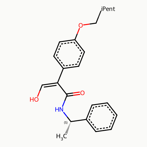 CCCC(C)COc1ccc(C(=CO)C(=O)N[C@@H](C)c2ccccc2)cc1